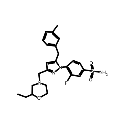 CCC1CN(Cc2cc(Cc3cccc(C)c3)n(-c3ccc(S(N)(=O)=O)cc3F)n2)CCO1